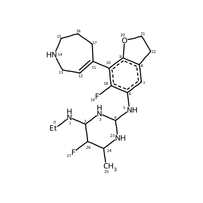 CCNC1NC(Nc2cc3c(c(C4=CCNCCC4)c2F)OCC3)NC(C)C1F